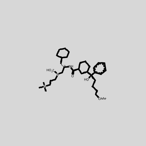 COCCCCC(O)(c1ccccc1)C1CCCC(C(=O)N[C@@H](CC2CCCCC2)CN(CCC[Si](C)(C)C)C(=O)O)C1